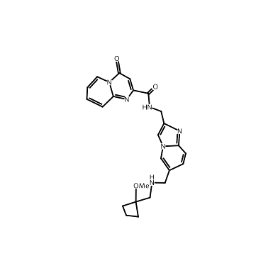 COC1(CNCc2ccc3nc(CNC(=O)c4cc(=O)n5ccccc5n4)cn3c2)CCC1